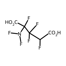 O=C(O)C(F)C(F)(F)C(F)(C(=O)O)N(F)F